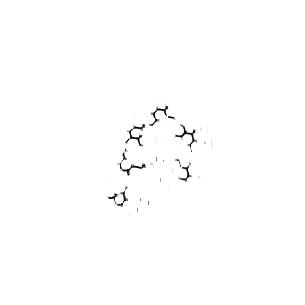 CCC1OC(COCC2C(CO)OC(COCC3C(CO)OC(OCC4OC(COCC5C(CO)OC(COCC6C(CO)OC(C)C(O)C6O)C(O)C5O)C(O)C(O)C4O)C(O)C3O)C(O)C2O)C(O)C(O)C1O